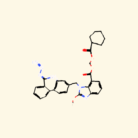 CCOc1nc2cccc(C(=O)OCOC(=O)C3CCCCC3)c2n1Cc1ccc(-c2ccccc2/C(N)=N/N=N)cc1